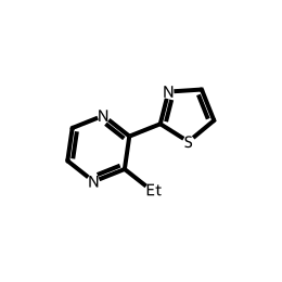 CCc1nccnc1-c1nccs1